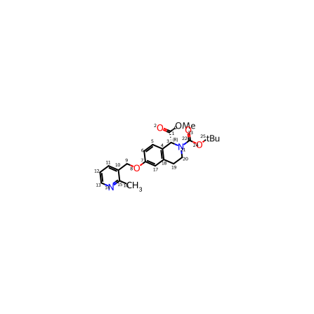 COC(=O)[C@H]1c2ccc(OCc3cccnc3C)cc2CCN1C(=O)OC(C)(C)C